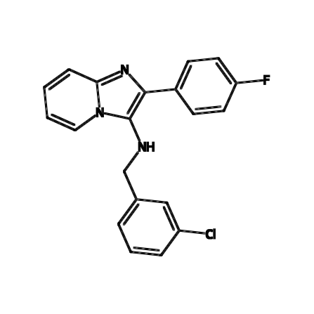 Fc1ccc(-c2nc3ccccn3c2NCc2cccc(Cl)c2)cc1